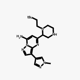 Cn1cc(-c2cnn3c(N)cc(C4CNCCN4CCC(C)(C)C)nc23)cn1